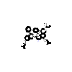 C=CC(=O)N1Cc2cc(OCC(C)C)c(/C=C\C(=O)N3Cc4cc(OCC(C)C)ccc4[C@@H](c4ccccc4)C3)cc2[C@H](c2ccccc2)C1